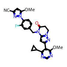 COc1ncnc(C2CC2)c1-c1cc2n(n1)CCC(=O)N2Cc1ccc(-n2nc(C#N)cc2OC)c(F)c1